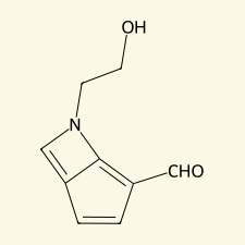 O=CC1=C2C(=CN2CCO)C=C1